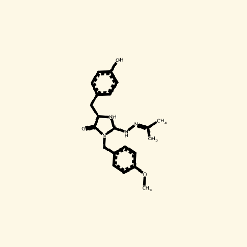 COc1ccc(CN2C(=O)C(Cc3ccc(O)cc3)NC2NN=C(C)C)cc1